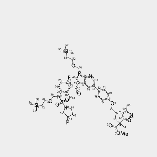 COC(=O)C(C)(CCCOc1ccc(-c2cnc3c(c2)c(C(=O)c2c(F)ccc(N(COCC[Si](C)(C)C)S(=O)(=O)N4CC[C@@H](F)C4)c2F)cn3COCC[Si](C)(C)C)cc1)c1cc(C)no1